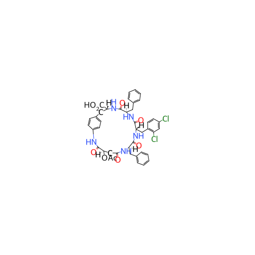 CC(=O)O[C@@H]1CC(=O)N[C@H](Cc2ccccc2)C(=O)N[C@@H](Cc2ccc(Cl)cc2Cl)C(=O)N[C@H](Cc2ccccc2)C(=O)N[C@@H](C(=O)O)Cc2ccc(cc2)NC1=O